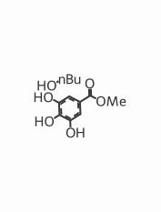 CCCCO.COC(=O)c1cc(O)c(O)c(O)c1